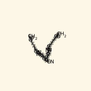 C=CC(=O)OCCCCCCCCCOc1cnc(-c2ccc(COc3ccc(C#N)cc3OCc3ccc(-c4ncc(OCCCCCCCCCOC(=O)C=C)cn4)cc3)cc2)nc1